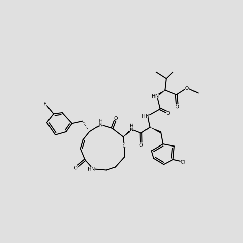 COC(=O)[C@@H](NC(=O)N[C@@H](Cc1cccc(Cl)c1)C(=O)N[C@H]1CCCCNC(=O)C=C[C@H](Cc2cccc(F)c2)NC1=O)C(C)C